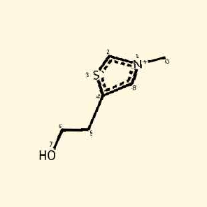 C[n+]1csc(CCO)c1